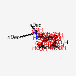 CCCCCCCCCCCCC/C=C/[C@@H](O)[C@H](CO[C@@H]1OC(CO)[C@@H](O[C@@H]2OC(CO[C@@H]3OC(CO)[C@@H](O)[C@H](O)C3NC(C)=O)[C@H](O)[C@H](O[C@@H]3OC(CO)[C@@H](O[C@@H]4OC(CO[C@]5(C(=O)O)CC(O)[C@@H](NC(C)=O)C([C@H](O)[C@H](O)CO)O5)[C@H](O)[C@H](O)C4O)[C@H](O)C3NC(C)=O)C2O)[C@H](O)C1O)NC(=O)CCCCCCCCCCCCCCCCCCCCC